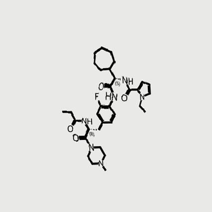 CCC(=O)N[C@H](Cc1ccc(NC(=O)[C@@H](NC(=O)c2cccn2CC)C2CCCCCC2)c(F)c1)C(=O)N1CCN(C)CC1